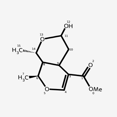 COC(=O)C1=CO[C@@H](C)C2C1CC(O)O[C@H]2C